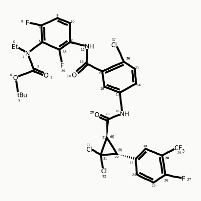 CCN(C(=O)OC(C)(C)C)c1c(F)ccc(NC(=O)c2cc(NC(=O)[C@H]3[C@H](c4ccc(F)c(C(F)(F)F)c4)C3(Cl)Cl)ccc2Cl)c1F